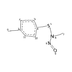 Cc1ccc(SN(C)N=O)cc1